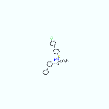 O=C(O)C1(NSc2ccc(-c3ccc(Cl)cc3)cc2)CC1c1cccc(-c2ccccc2)c1